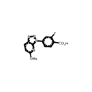 COc1ccc2nnn(-c3ccc(C(=O)O)c(F)c3)c2n1